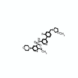 COc1ncc(N2CCOCC2)cc1S(=O)(=O)Nc1cncc(-c2ccc(CN3CC[C@H](C)C3)cc2F)c1